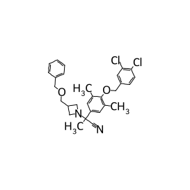 Cc1cc(C(C)(C#N)N2CC(COCc3ccccc3)C2)cc(C)c1OCc1ccc(Cl)c(Cl)c1